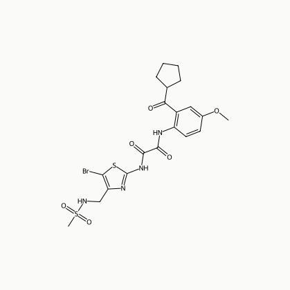 COc1ccc(NC(=O)C(=O)Nc2nc(CNS(C)(=O)=O)c(Br)s2)c(C(=O)C2CCCC2)c1